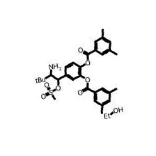 CCO.Cc1cc(C)cc(C(=O)Oc2ccc(C(OS(C)(=O)=O)C(N)C(C)(C)C)cc2OC(=O)c2cc(C)cc(C)c2)c1